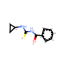 O=C(NC(=S)NC1CC1)c1ccccc1